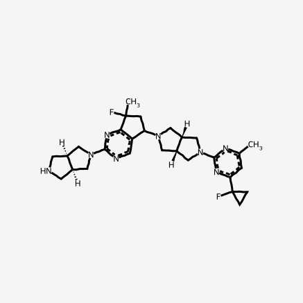 Cc1cc(C2(F)CC2)nc(N2C[C@@H]3CN(C4CC(C)(F)c5nc(N6C[C@H]7CNC[C@H]7C6)ncc54)C[C@@H]3C2)n1